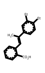 CCc1ccc(C(C)=Cc2ccccc2C(=O)O)cc1CC